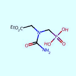 CCOC(=O)CN(CP(=O)(O)O)C(N)=O